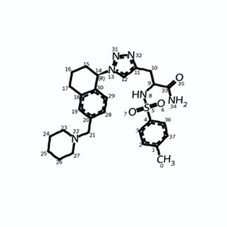 Cc1ccc(S(=O)(=O)NC(Cc2cn([C@@H]3CCCc4cc(CN5CCCCC5)ccc43)nn2)C(N)=O)cc1